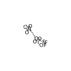 CC(=O)C(=Cc1cccc(C(F)(F)F)c1)C(=O)OCCCCCCN1C(=O)c2ccccc2C1=O